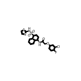 O=C(COc1ccc(F)c(Cl)c1)Nc1ccc(S(=O)(=O)Nc2nccs2)c2ccccc12